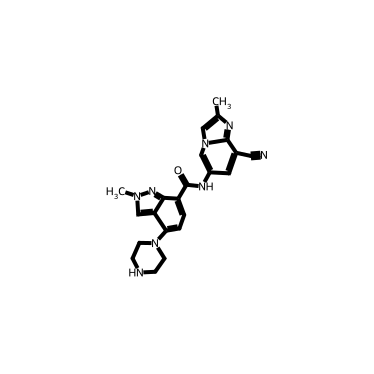 Cc1cn2cc(NC(=O)c3ccc(N4CCNCC4)c4cn(C)nc34)cc(C#N)c2n1